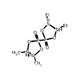 CC[SiH]1OP(=O)(P2(=O)O[SiH](C)[SiH](C)O2)O[SiH]1CC